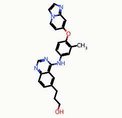 Cc1cc(Nc2ncnc3ccc(CCCO)cc23)ccc1Oc1ccn2ccnc2c1